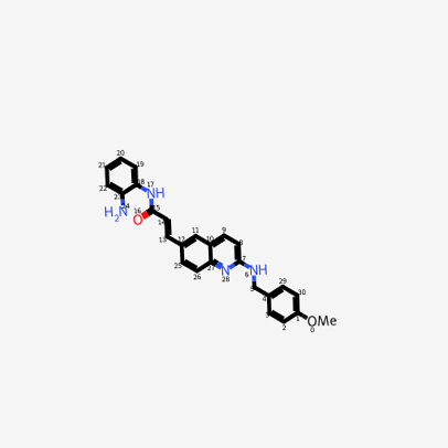 COc1ccc(CNc2ccc3cc(C=CC(=O)Nc4ccccc4N)ccc3n2)cc1